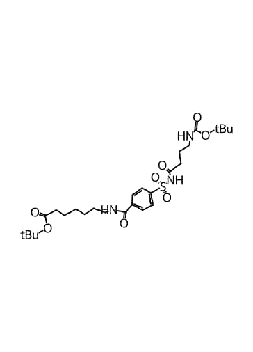 CC(C)(C)OC(=O)CCCCCCNC(=O)c1ccc(S(=O)(=O)NC(=O)CCCNC(=O)OC(C)(C)C)cc1